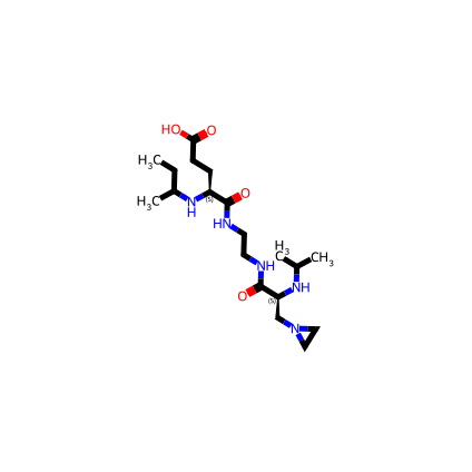 CCC(C)N[C@@H](CCC(=O)O)C(=O)NCCNC(=O)[C@H](CN1CC1)NC(C)C